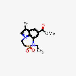 CCc1cn2c3c(cc(C(=O)OC)cc13)N(CC(F)(F)F)S(=O)(=O)CC2